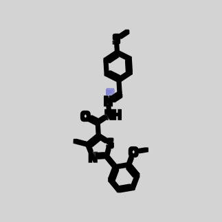 COc1ccccc1-c1nc(C)c(C(=O)N/N=C/c2ccc(SC)cc2)s1